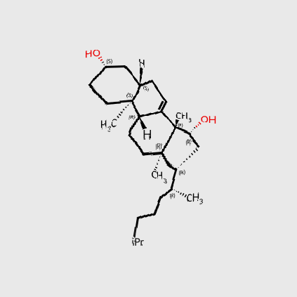 CC(C)CCC[C@@H](C)[C@H]1C[C@@H](O)[C@@]2(C)C3=CC[C@H]4C[C@@H](O)CC[C@]4(C)[C@H]3CC[C@]12C